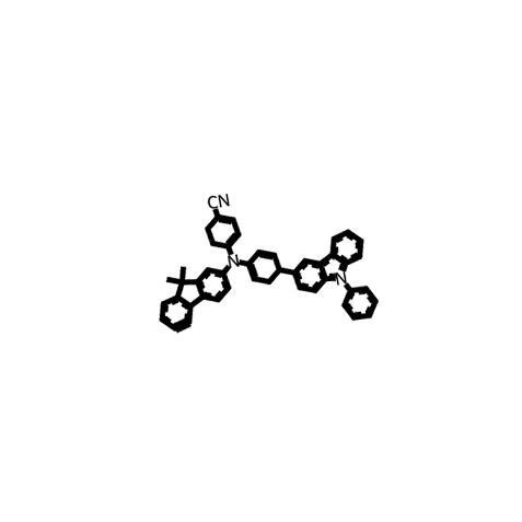 CC1(C)c2ccc#cc2-c2ccc(N(C3=CCC(c4ccc5c(c4)c4ccccc4n5-c4ccccc4)C=C3)C3=CC=C(C#N)CC3)cc21